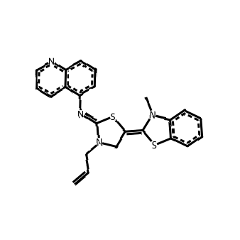 C=CCN1CC(=C2Sc3ccccc3N2C)SC1=Nc1cccc2ncccc12